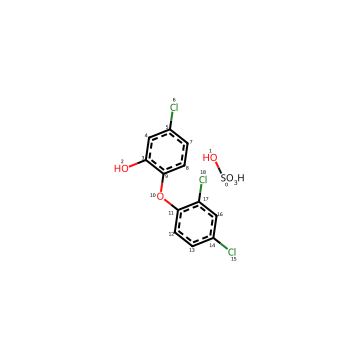 O=S(=O)(O)O.Oc1cc(Cl)ccc1Oc1ccc(Cl)cc1Cl